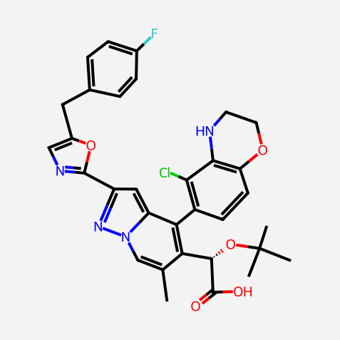 Cc1cn2nc(-c3ncc(Cc4ccc(F)cc4)o3)cc2c(-c2ccc3c(c2Cl)NCCO3)c1[C@H](OC(C)(C)C)C(=O)O